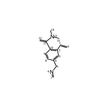 C=Cc1cc(CN=C)ccc1C(=C)N(C)C